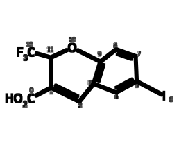 O=C(O)C1=Cc2cc(I)ccc2OC1C(F)(F)F